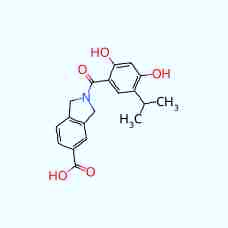 CC(C)c1cc(C(=O)N2Cc3ccc(C(=O)O)cc3C2)c(O)cc1O